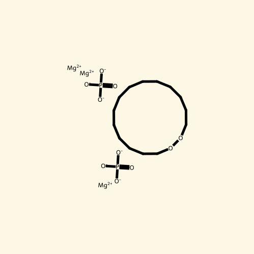 C1CCCCCCCOOCCCCCC1.O=P([O-])([O-])[O-].O=P([O-])([O-])[O-].[Mg+2].[Mg+2].[Mg+2]